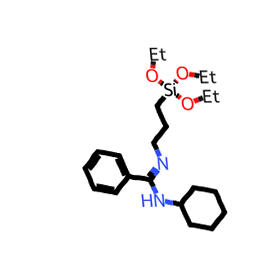 CCO[Si](CCCN=C(NC1CCCCC1)c1ccccc1)(OCC)OCC